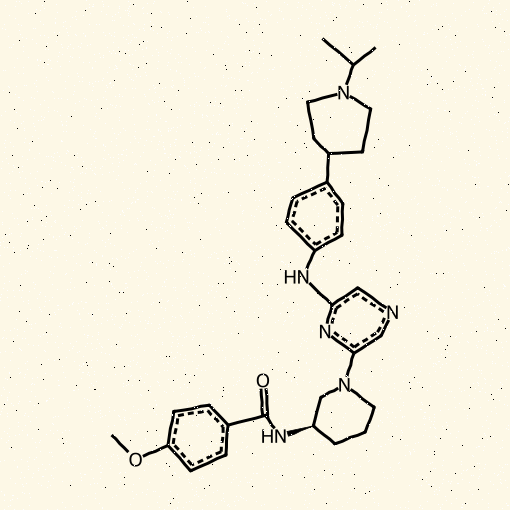 COc1ccc(C(=O)N[C@@H]2CCCN(c3cncc(Nc4ccc(C5CCN(C(C)C)CC5)cc4)n3)C2)cc1